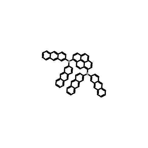 c1ccc2cc3cc(B(c4ccc5cc6ccccc6cc5c4)c4ccc5ccc6ccc(B(c7ccc8cc9ccccc9cc8c7)c7ccc8cc9ccccc9cc8c7)c7ccc4c5c67)ccc3cc2c1